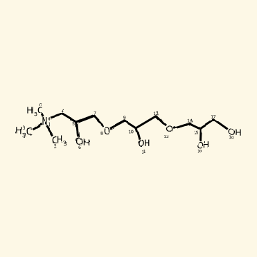 C[N+](C)(C)CC(O)COCC(O)COCC(O)CO